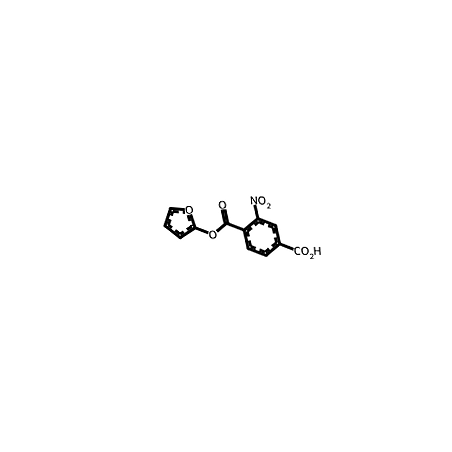 O=C(O)c1ccc(C(=O)Oc2ccco2)c([N+](=O)[O-])c1